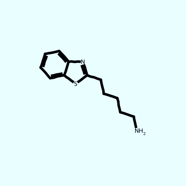 NCCCCCc1nc2ccccc2s1